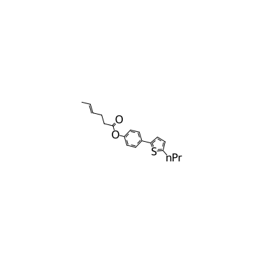 C/C=C/CCC(=O)Oc1ccc(-c2ccc(CCC)s2)cc1